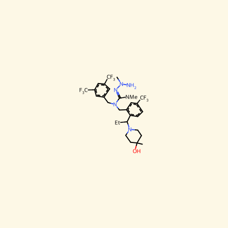 CCC(c1ccc(C(F)(F)F)cc1CN(Cc1cc(C(F)(F)F)cc(C(F)(F)F)c1)/C(=N/N(C)N)NC)N1CCC(C)(O)CC1